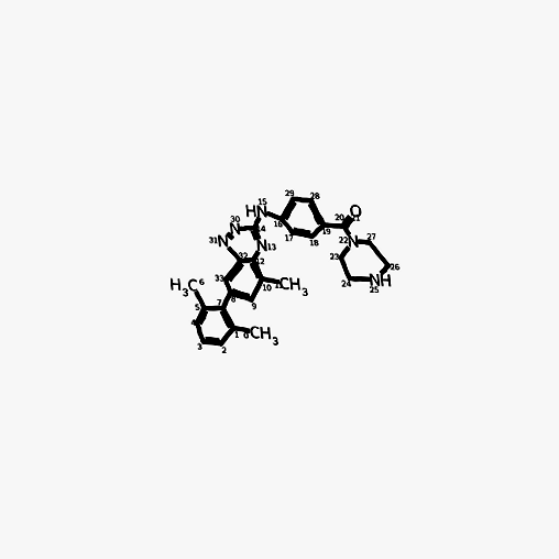 Cc1cccc(C)c1-c1cc(C)c2nc(Nc3ccc(C(=O)N4CCNCC4)cc3)nnc2c1